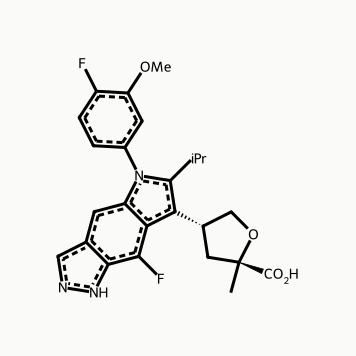 COc1cc(-n2c(C(C)C)c([C@@H]3CO[C@@](C)(C(=O)O)C3)c3c(F)c4[nH]ncc4cc32)ccc1F